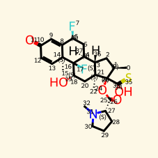 C[C@@H]1C[C@H]2[C@@H]3C[C@H](F)C4=CC(=O)C=C[C@]4(C)C3(F)[C@@H](O)C[C@]2(C)[C@@]1(OC(=O)[C@@H]1CCCN1C)C(O)=S